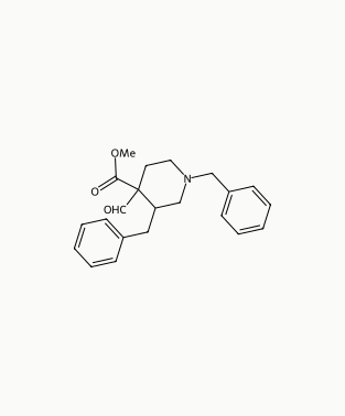 COC(=O)C1(C=O)CCN(Cc2ccccc2)CC1Cc1ccccc1